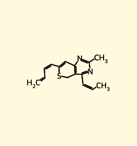 C=C/C=C\C1=Cc2nc(C)nc(/C=C\C)c2CS1